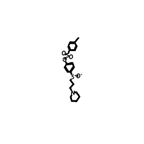 Cc1ccc(S(=O)(=O)Oc2ccc([S+]([O-])CCCN3CCCCC3)cc2)cc1